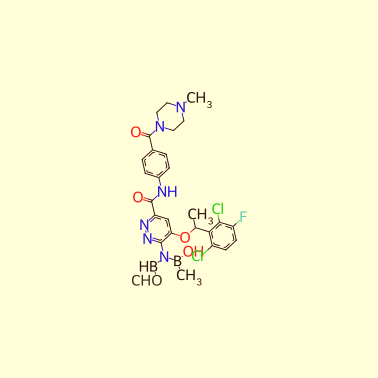 CB(O)N(BC=O)c1nnc(C(=O)Nc2ccc(C(=O)N3CCN(C)CC3)cc2)cc1OC(C)c1c(Cl)ccc(F)c1Cl